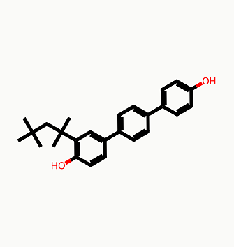 CC(C)(C)CC(C)(C)c1cc(-c2ccc(-c3ccc(O)cc3)cc2)ccc1O